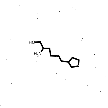 NC(CO)CCCCC1CCCC1